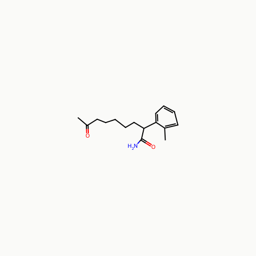 CC(=O)CCCCCC(C(N)=O)c1ccccc1C